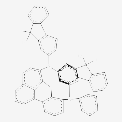 CC1(C)c2ccccc2-c2ccc(N(c3ccc4c(c3)C(C)(C)c3ccccc3-4)c3ccc4cccc5c4c3Oc3c-5cccc3N(c3ccccc3)c3ccccc3)cc21